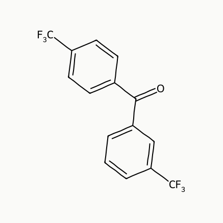 O=C(c1ccc(C(F)(F)F)cc1)c1cccc(C(F)(F)F)c1